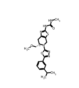 CNC(=O)Nc1nc2c(s1)CN(c1nnc(-c3cccc(C(C)C)c3)o1)[C@H](COC)C2